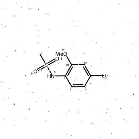 C[CH]c1ccc(NS(C)(=O)=O)c(OC)c1